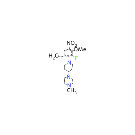 C=Cc1cc([N+](=O)[O-])c(OC)c(F)c1N1CCC(N2CCN(C)CC2)CC1